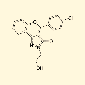 O=c1c2c(-c3ccc(Cl)cc3)oc3ccccc3c-2nn1CCO